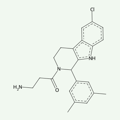 Cc1cc(C)cc(C2c3[nH]c4ccc(Cl)cc4c3CCN2C(=O)CCN)c1